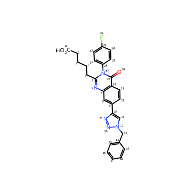 O=C(O)CCCCc1nc2cc(-c3cn(Cc4ccccc4)nn3)ccc2c(=O)n1-c1ccc(F)cc1